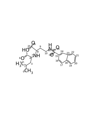 CC(C)CC(C=O)NC(CCNS(=O)(=O)c1ccc2ccccc2c1)C(=O)O